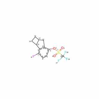 O=S(=O)(Oc1ccc(I)c2c1CC1CCC21)C(F)(F)F